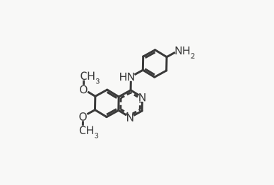 COC1C=c2ncnc(NC3=CCC(N)C=C3)c2=CC1OC